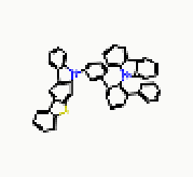 c1ccc(-c2cccc(-c3cccc(-n4c5ccccc5c5cc6c(cc54)sc4ccccc46)c3)c2-n2c3ccccc3c3ccccc32)cc1